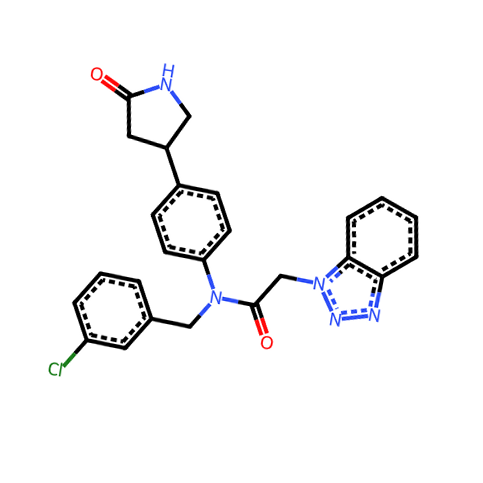 O=C1CC(c2ccc(N(Cc3cccc(Cl)c3)C(=O)Cn3nnc4ccccc43)cc2)CN1